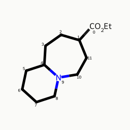 CCOC(=O)C1CCC2CCCCN2CC1